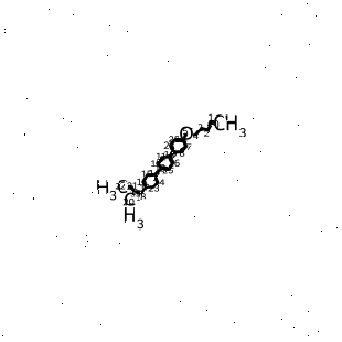 CCCCCOc1ccc(-c2ccc(C3=CCC(CC(C)CC)CC3)cc2)cc1